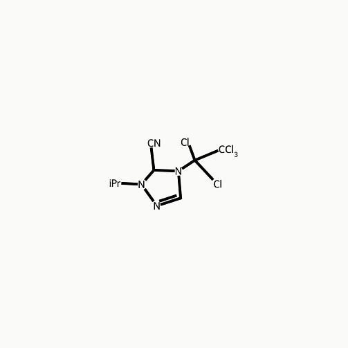 CC(C)N1N=CN(C(Cl)(Cl)C(Cl)(Cl)Cl)C1C#N